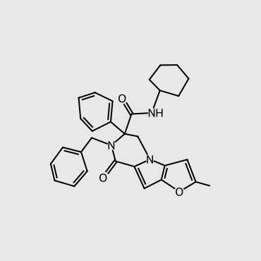 Cc1cc2c(cc3n2CC(C(=O)NC2CCCCC2)(c2ccccc2)N(Cc2ccccc2)C3=O)o1